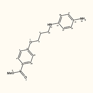 COC(=O)c1ccc(OCCCNc2ccc(N)cc2)cc1